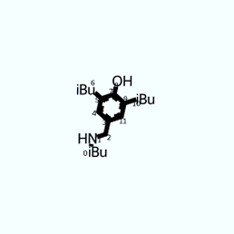 CCC(C)NCc1cc(C(C)CC)c(O)c(C(C)CC)c1